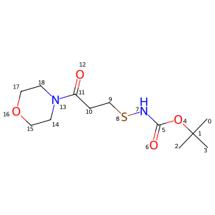 CC(C)(C)OC(=O)NSCCC(=O)N1CCOCC1